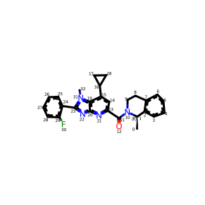 C[C@@H]1c2ccccc2CCN1C(=O)c1cc(C2CC2)c2c(n1)nc(-c1ccccc1F)n2C